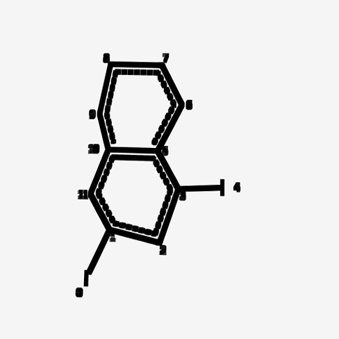 Ic1cc(I)c2ccccc2c1